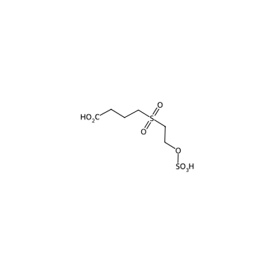 O=C(O)CCCS(=O)(=O)CCOS(=O)(=O)O